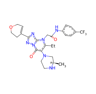 CCc1c(N2CCN[C@H](C)C2)c(=O)n2nc(C3=CCOCC3)nc2n1CC(=O)Nc1ccc(C(F)(F)F)cc1